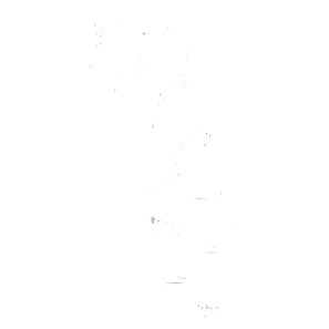 CNC(=O)c1cccc2c(/C(C#N)=C/c3cccc4cnccc34)c[nH]c12